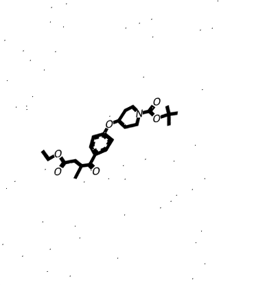 CCOC(=O)CC(C)C(=O)c1ccc(OC2CCN(C(=O)OC(C)(C)C)CC2)cc1